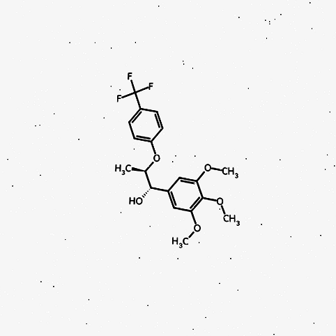 COc1cc([C@H](O)[C@@H](C)Oc2ccc(C(F)(F)F)cc2)cc(OC)c1OC